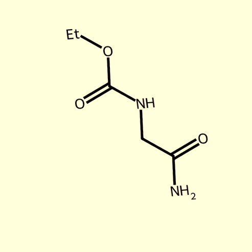 CCOC(=O)NCC(N)=O